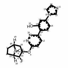 CN1[C@@H]2CC[C@H]1[C@H](F)[C@H](Oc1ccc(-c3ccc(-n4ccnc4)cc3O)nn1)C2